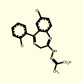 C/C(=N/NC1=Nc2ccc(Cl)cc2C(c2ccccc2Cl)=NC1)C(=O)O